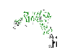 Cl.Cl.Cl.Cl.Cl.Cl.Cl.Cl.[Er].[KH].[Nd]